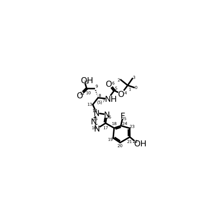 CC(C)(C)OC(=O)N[C@@H](CC(=O)O)Cn1nnc(-c2ccc(O)cc2F)n1